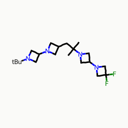 CC(C)(C)N1CC(N2CC(CC(C)(C)N3CC(N4CC(F)(F)C4)C3)C2)C1